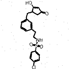 O=C1C=C(O)C(Cc2cccc(CCNS(=O)(=O)c3ccc(Cl)cc3)c2)C1